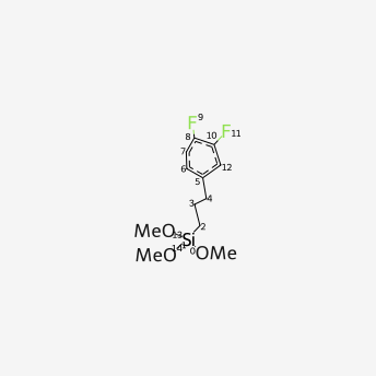 CO[Si](CCCc1ccc(F)c(F)c1)(OC)OC